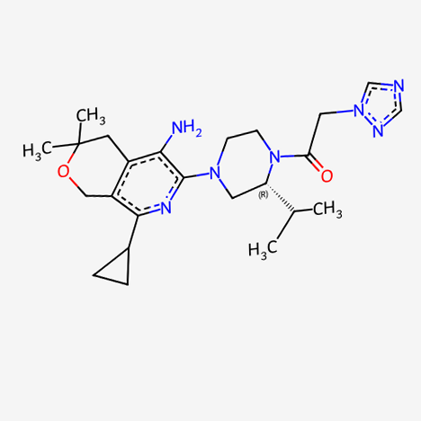 CC(C)[C@@H]1CN(c2nc(C3CC3)c3c(c2N)CC(C)(C)OC3)CCN1C(=O)Cn1cncn1